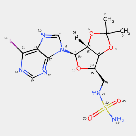 CC1(C)OC2[C@@H](O1)[C@H](n1cnc3c(I)ncnc31)O[C@@H]2CNS(N)(=O)=O